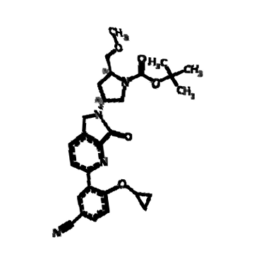 COC[C@@H]1C[C@@H](N2Cc3ccc(-c4cc(C#N)ccc4OC4CC4)nc3C2=O)CN1C(=O)OC(C)(C)C